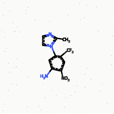 Cc1nccn1-c1cc(N)c([N+](=O)[O-])cc1C(F)(F)F